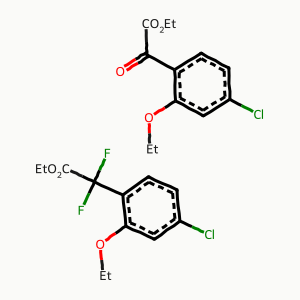 CCOC(=O)C(=O)c1ccc(Cl)cc1OCC.CCOC(=O)C(F)(F)c1ccc(Cl)cc1OCC